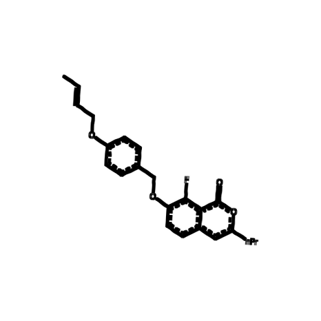 C/C=C/COc1ccc(COc2ccc3cc(CCC)oc(=O)c3c2F)cc1